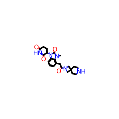 Cn1c(=O)n(C2CCC(=O)NC2=O)c2cccc(CC(=O)N3CC4(CCNCC4)C3)c21